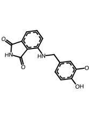 O=C1NC(=O)c2c(NCc3ccc(O)c(O)c3)cccc21